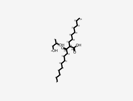 CC(O)CO.CCCCCCCCCC(=O)C(CCCCCCCC)C(=O)O